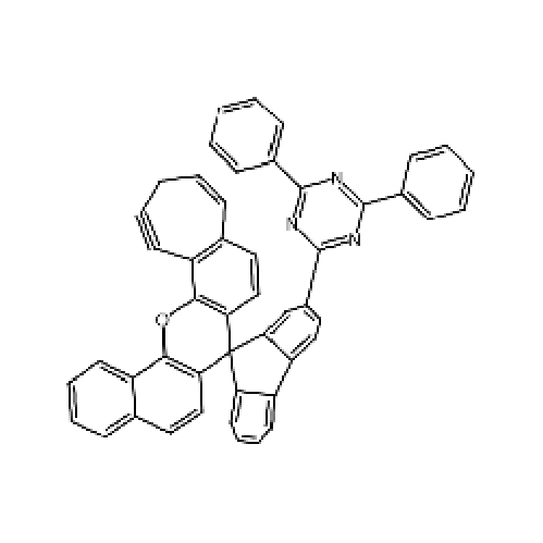 C1#Cc2c(ccc3c2Oc2c(ccc4ccccc24)C32c3ccccc3-c3ccc(-c4nc(-c5ccccc5)nc(-c5ccccc5)n4)cc32)C=CC1